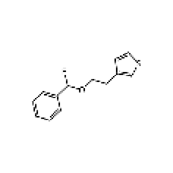 FC(OCCc1ccsc1)c1ccccc1